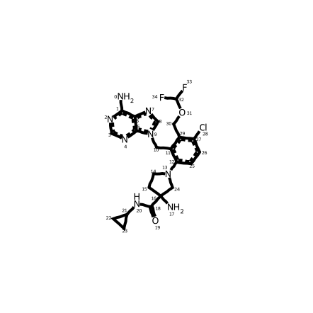 Nc1ncnc2c1ncn2Cc1c(N2CCC(N)(C(=O)NC3CC3)C2)ccc(Cl)c1COC(F)F